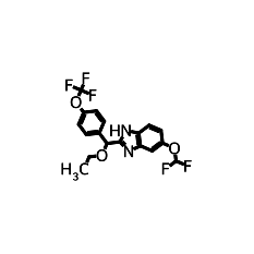 CCOC(c1ccc(OC(F)(F)F)cc1)c1nc2cc(OC(F)F)ccc2[nH]1